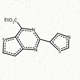 CCOC(=O)c1nc(-c2cncs2)nc2ccsc12